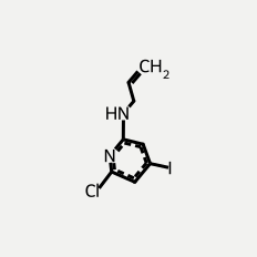 C=CCNc1cc(I)cc(Cl)n1